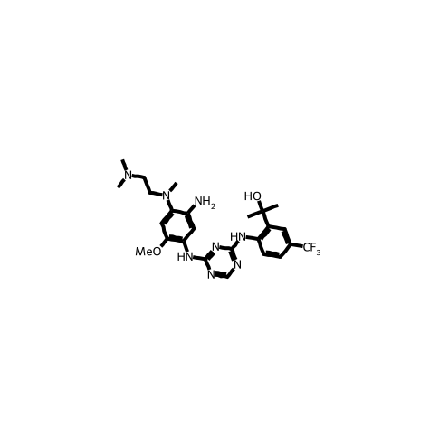 COc1cc(N(C)CCN(C)C)c(N)cc1Nc1ncnc(Nc2ccc(C(F)(F)F)cc2C(C)(C)O)n1